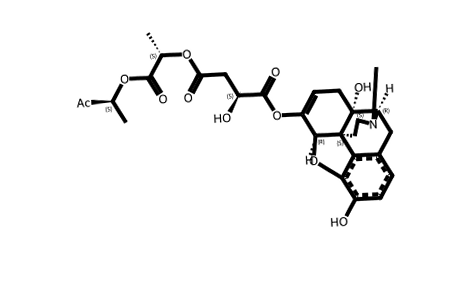 CC(=O)[C@H](C)OC(=O)[C@H](C)OC(=O)C[C@H](O)C(=O)OC1=CC[C@@]2(O)[C@H]3Cc4ccc(O)c5c4[C@@]2(CCN3C)[C@H]1O5